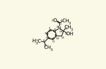 CC(=O)N1c2ccc(C(C)C)cc2CC1(C)O